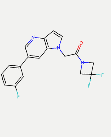 O=C(Cn1ccc2ncc(-c3cccc(F)c3)cc21)N1CC(F)(F)C1